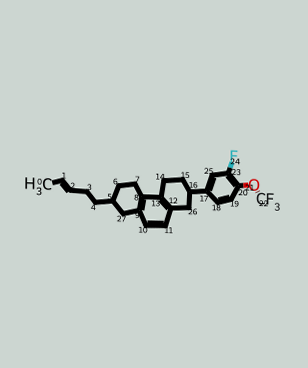 C/C=C/CCC1CCc2c(ccc3c2CCC(c2ccc(OC(F)(F)F)c(F)c2)C3)C1